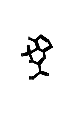 O=C(O)C1=Nc2cccc(I)c2S(=O)(=O)N1